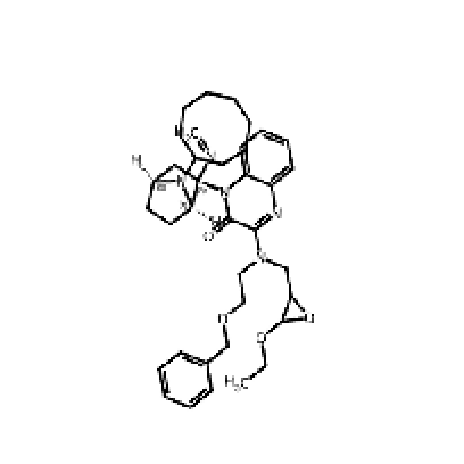 C=N[C@@]1(n2c(=O)c(N(CCOCc3ccccc3)CC3OC3OCC)nc3ccccc32)C[C@@H]2CC[C@H]1N2C1CCCCCCC1